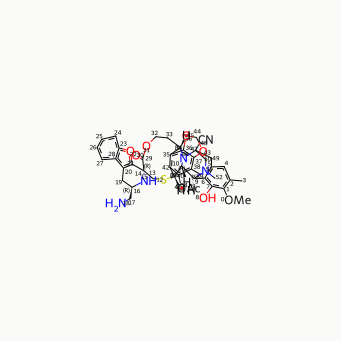 COc1c(C)cc2c(c1O)[C@H]1[C@@H]3[C@@H]4SC[C@]5(N[C@@H](CN)Cc6c5oc5ccccc65)C(=O)OCC[C@@H](c5c6c(c(C)c(OC(C)=O)c54)OCO6)N3C(C#N)(C2)CN1C